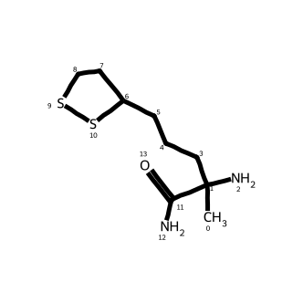 CC(N)(CCCC1CCSS1)C(N)=O